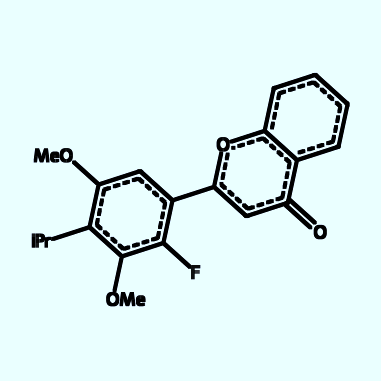 COc1cc(-c2cc(=O)c3ccccc3o2)c(F)c(OC)c1C(C)C